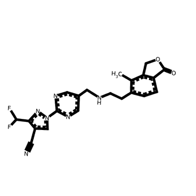 Cc1c(CCNCc2cnc(-n3cc(C#N)c(C(F)F)n3)nc2)ccc2c1COC2=O